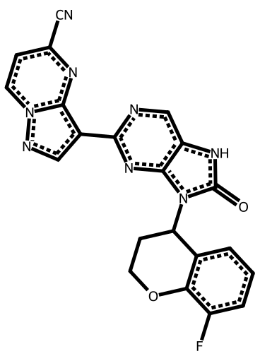 N#Cc1ccn2ncc(-c3ncc4[nH]c(=O)n(C5CCOc6c(F)cccc65)c4n3)c2n1